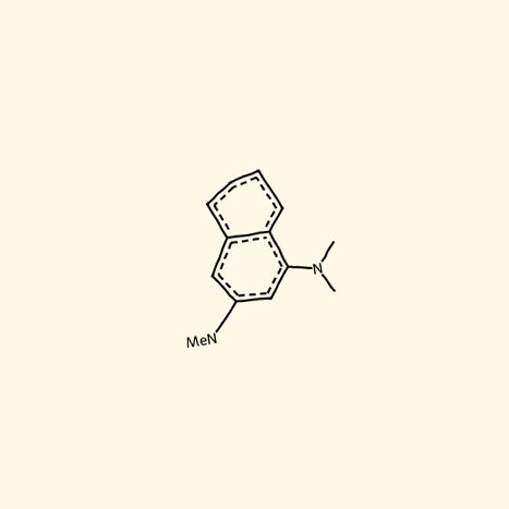 CNc1cc(N(C)C)c2ccccc2c1